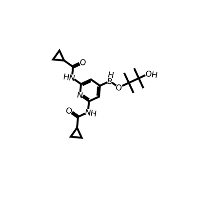 CC(C)(O)C(C)(C)OBc1cc(NC(=O)C2CC2)nc(NC(=O)C2CC2)c1